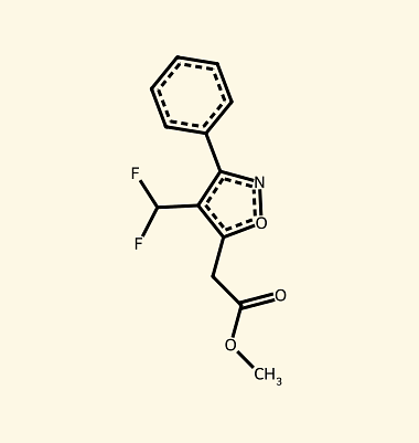 COC(=O)Cc1onc(-c2ccccc2)c1C(F)F